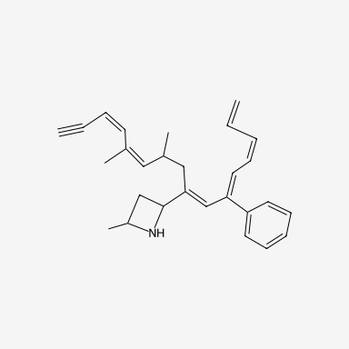 C#C/C=C\C(C)=C/C(C)C\C(=C/C(=C/C=C\C=C)c1ccccc1)C1CC(C)N1